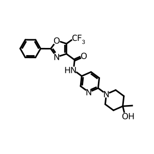 CC1(O)CCN(c2ccc(NC(=O)c3nc(-c4ccccc4)oc3C(F)(F)F)cn2)CC1